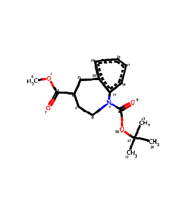 COC(=O)C1CCN(C(=O)OC(C)(C)C)c2ccccc2C1